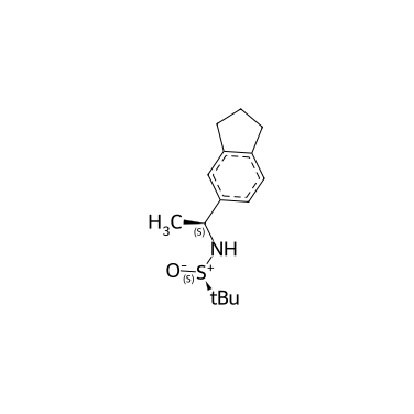 C[C@H](N[S@+]([O-])C(C)(C)C)c1ccc2c(c1)CCC2